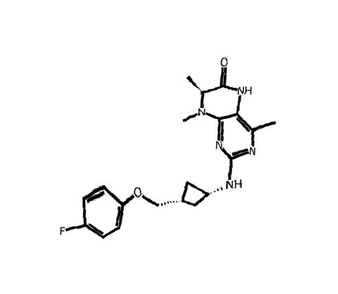 Cc1nc(N[C@H]2C[C@@H](COc3ccc(F)cc3)C2)nc2c1NC(=O)[C@H](C)N2C